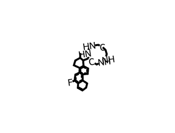 CC1CCc2c(ccc3c4c(c(F)cc23)C=CCC4)C1C1CCNNCCCCNCN1